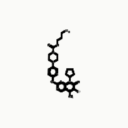 CCCCOC(=O)N1CCN(c2ccc(Nc3ncc4c(C)c(Br)c(=O)n(C5CCCC5)c4n3)nc2)CC1